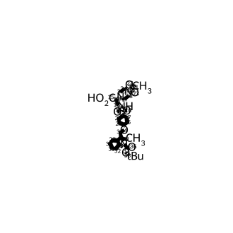 Cc1c(COc2ccc(S(=O)(=O)NC[C@@H](C(=O)O)N3CCN(S(C)(=O)=O)CC3)cc2)c2ccccc2n1C(=O)OC(C)(C)C